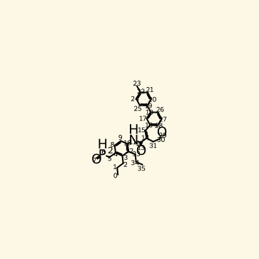 CCCc1c(C[PH2]=O)ccc(NC(=O)C2=Cc3cc(-c4ccc(C)cc4)ccc3OCC2)c1CCC